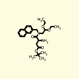 CCOC(CN(Cc1ccc2ccccc2c1)C(=O)C(N)CC(=O)OC(C)(C)C)OCC